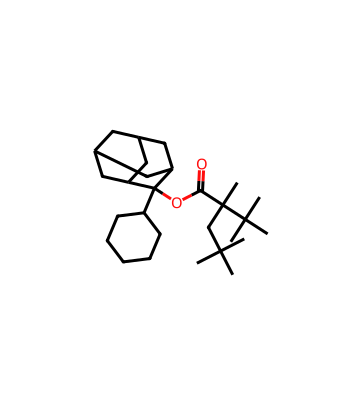 CC(C)(C)CC(C)(C(=O)OC1(C2CCCCC2)C2CC3CC(C2)CC1C3)C(C)(C)C